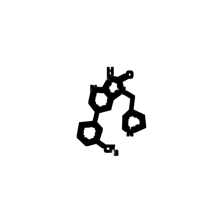 O=c1[nH]c2ncc(-c3cccc(C(F)(F)F)c3)cc2n1Cc1ccncc1